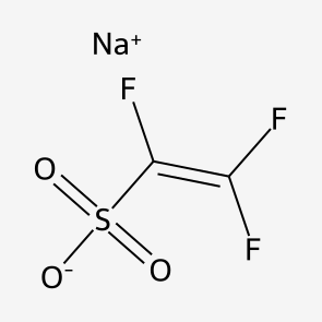 O=S(=O)([O-])C(F)=C(F)F.[Na+]